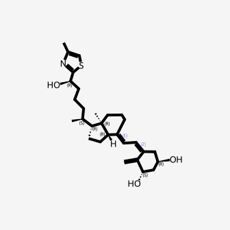 C=C1/C(=C\C=C2/CCC[C@]3(C)[C@@H]([C@@H](C)CCC[C@@H](O)c4nc(C)cs4)CC[C@@H]23)C[C@@H](O)C[C@@H]1O